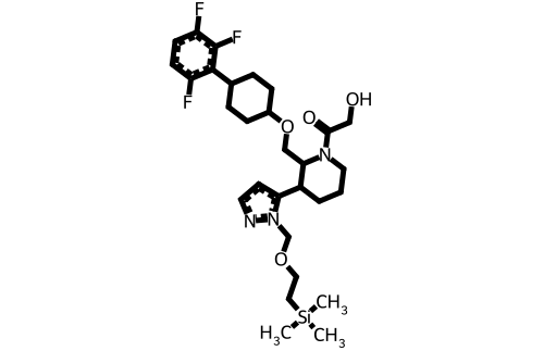 C[Si](C)(C)CCOCn1nccc1C1CCCN(C(=O)CO)C1COC1CCC(c2c(F)ccc(F)c2F)CC1